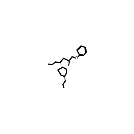 CCCC(CC(F)COc1ccccc1)[C@H]1CC[C@H](CCC)CC1